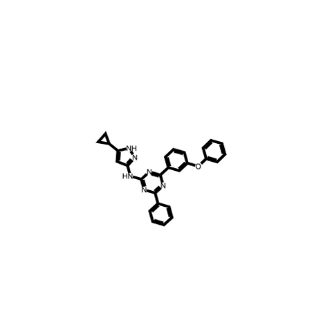 c1ccc(Oc2cccc(-c3nc(Nc4cc(C5CC5)[nH]n4)nc(-c4ccccc4)n3)c2)cc1